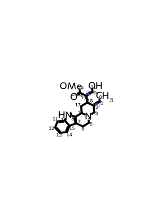 C/C=C1/CN2CCc3c([nH]c4ccccc34)C2CC1/C(=C/O)C(=O)OC